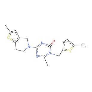 Cc1cc2c(s1)CCN(c1nc(C)n(Cc3ccc(C(F)(F)F)s3)c(=O)n1)C2